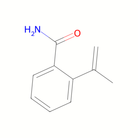 C=C(C)c1ccccc1C(N)=O